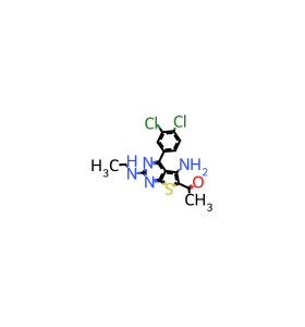 CCNc1nc(-c2ccc(Cl)c(Cl)c2)c2c(N)c(C(C)=O)sc2n1